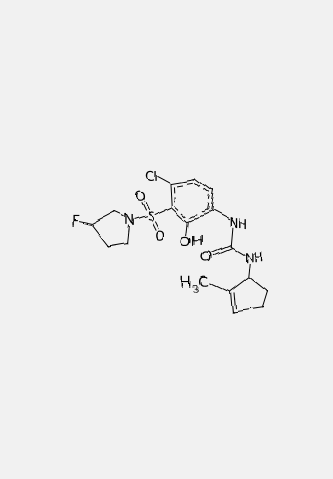 CC1=CCCC1NC(=O)Nc1ccc(Cl)c(S(=O)(=O)N2CCC(F)C2)c1O